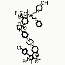 Cc1c(S(C)(=O)=O)c(-c2cccc(N3CCN(c4ccc(N5CCO[P@]5(=O)c5ccc(N[C@H](CCN6CCC(O)CC6)CSc6ccccc6)c(S(=O)(=O)C(F)(F)F)c5)cc4)CC3)c2)c(-c2ccc(Cl)cc2)n1C(C)C